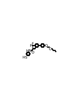 CCCCOCCOc1ccc(-c2ccc(C(F)(F)F)c(/C=C/C(=O)Nc3ccc(S)cc3)c2)cc1